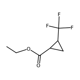 CCOC(=O)C1CC1C(F)(F)F